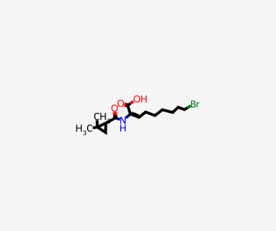 CC1(C)CC1C(=O)NC(=CCCCCCCBr)C(=O)O